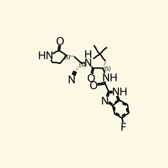 CC(C)(C)C[C@H](NC(=O)c1nc2cc(F)ccc2[nH]1)C(=O)N[C@H](C#N)C[C@@H]1CCNC1=O